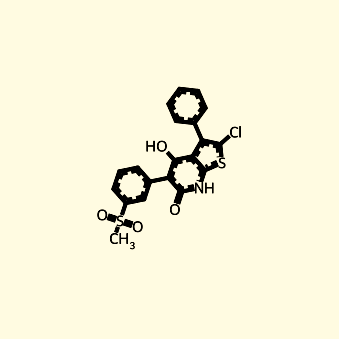 CS(=O)(=O)c1cccc(-c2c(O)c3c(-c4ccccc4)c(Cl)sc3[nH]c2=O)c1